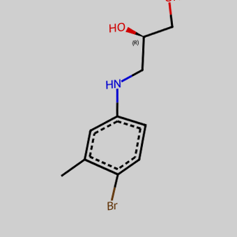 Cc1cc(NC[C@@H](O)CO)ccc1Br